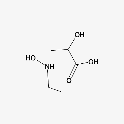 CC(O)C(=O)O.CCNO